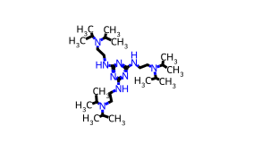 CC(C)N(CCNc1nc(NCCN(C(C)C)C(C)C)nc(NCCN(C(C)C)C(C)C)n1)C(C)C